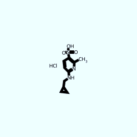 Cc1nc(NCC2CC2)ccc1S(=O)(=O)O.Cl